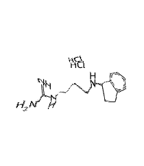 Cl.Cl.N=C(N)NCCCCNC1CCc2ccccc21